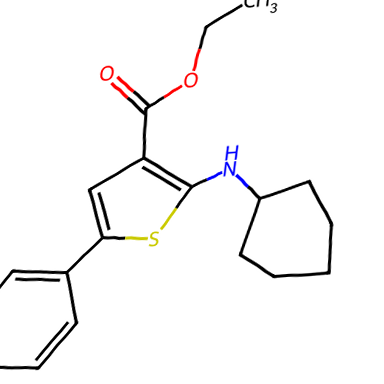 CCOC(=O)c1cc(-c2ccccc2)sc1NC1CCCCC1